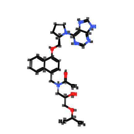 CC(=O)N(Cc1ccc(OC[C@H]2CCCN2c2ncnc3[nH]cnc23)c2ccccc12)CC(O)COC(C)C